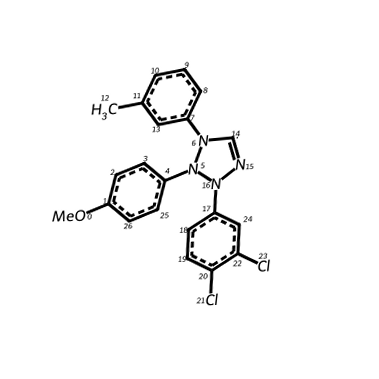 COc1ccc(N2N(c3cccc(C)c3)[C]=NN2c2ccc(Cl)c(Cl)c2)cc1